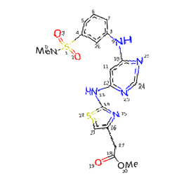 CNS(=O)(=O)c1cccc(Nc2cc(Nc3nc(CC(=O)OC)cs3)ncn2)c1